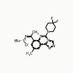 C/C(=N/[S@+]([O-])C(C)(C)C)c1cc(C)cc2c1nc(N1CCC(F)(F)CC1)n1cnnc21